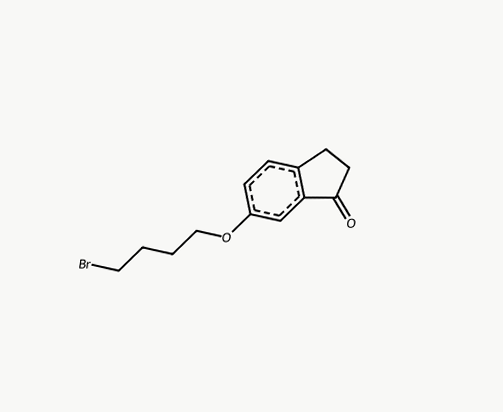 O=C1CCc2ccc(OCCCCBr)cc21